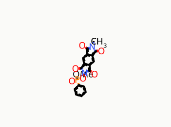 COP(=O)(On1c(=O)c2cc3c(=O)n(C)c(=O)c3cc2c1=O)c1ccccc1